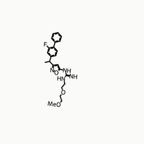 COCCOCCNC(=N)Nc1cc(C(C)c2ccc(-c3ccccc3)c(F)c2)no1